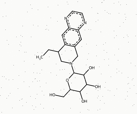 CCC1CN(C2OC(CO)C(O)C(O)C2O)Cc2cc3nccnc3cc21